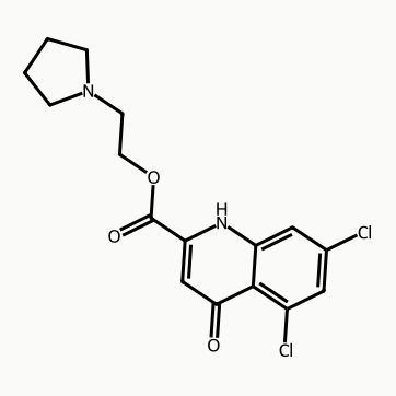 O=C(OCCN1CCCC1)c1cc(=O)c2c(Cl)cc(Cl)cc2[nH]1